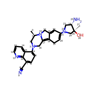 C[C@@H]1CN(c2ccc(C#N)c3ncccc23)CC2=C3CC=C(N4C[C@H](N)[C@@](C)(O)C4)C=C3CN21